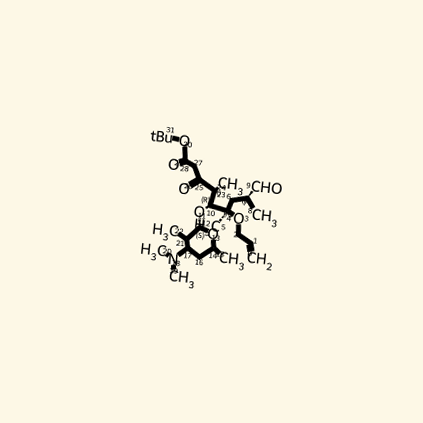 C=CCO[C@](C)(C[C@@H](C)C=O)[C@H](O[C@@H]1OC(C)CC(N(C)C)C1C)[C@@H](C)C(=O)CC(=O)OC(C)(C)C